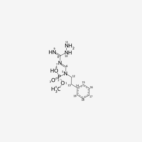 COP(=O)(O)N(C=NC(=N)NN)CCc1ccccc1